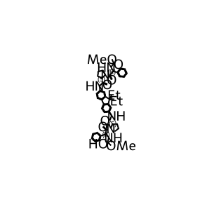 CCC1(CC)c2cc(NC(=O)[C@@H]3CCCN3C(=O)[C@H](NC(=O)OC)c3ccccc3)ccc2-c2ccc(NC(=O)[C@@H]3CCCN3C(=O)[C@H](NC(O)OC)c3ccccc3)cc21